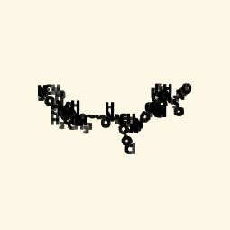 Cc1ncsc1-c1ccc([C@H](C)NC(=O)[C@@H]2CCCN2C(=O)[C@@H](NC(=O)CCCCCCCC(=O)NCCN(C)CC2(C)CCC(c3ccc(Cl)cc3)=C(CN3CCN(c4ccc(C(=O)NS(=O)(=O)c5ccc(N[C@H](CCN6CCOCC6)CSc6ccccc6)c(S(=O)(=O)C(F)(F)F)c5)cc4)CC3)C2)C(C)(C)C)cc1